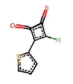 O=c1c(Cl)c(-c2cccs2)c1=O